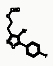 O=COCCc1noc(-c2ccc(F)cc2)c1Br